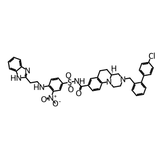 O=C(NS(=O)(=O)c1ccc(NCCc2nc3ccccc3[nH]2)c([N+](=O)[O-])c1)c1ccc2c(c1)CC[C@H]1CN(Cc3ccccc3-c3ccc(Cl)cc3)CCN21